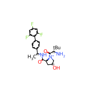 C[C@H](NC(=O)C1=[N+](C(=O)[C@@H](N)C(C)(C)C)C[C@H](O)C1)c1ccc(-c2c(F)cc(F)cc2F)cc1